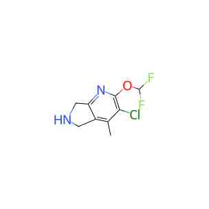 Cc1c(Cl)c(OC(F)F)nc2c1CNC2